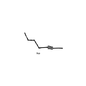 CC#CCCCC.[Na]